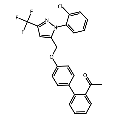 CC(=O)c1ccccc1-c1ccc(OCc2cc(C(F)(F)F)nn2-c2ccccc2Cl)cc1